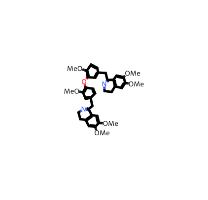 COc1cc2c(cc1OC)C(Cc1ccc(Oc3cc(CC4=NCCc5cc(OC)c(OC)cc54)ccc3OC)c(OC)c1)=NCC2